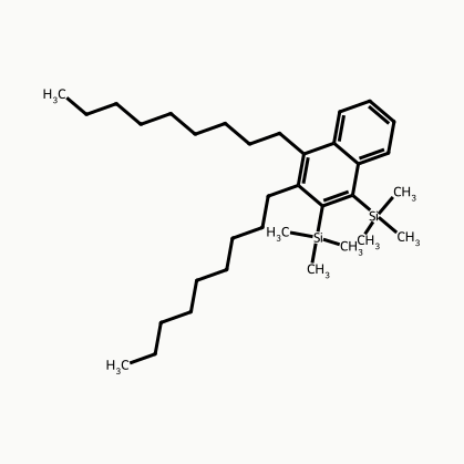 CCCCCCCCCc1c([Si](C)(C)C)c([Si](C)(C)C)c2ccccc2c1CCCCCCCCC